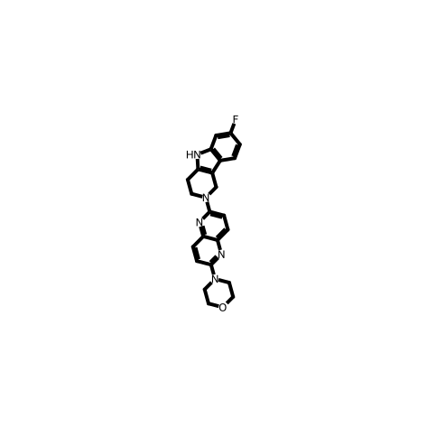 Fc1ccc2c3c([nH]c2c1)CCN(c1ccc2nc(N4CCOCC4)ccc2n1)C3